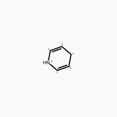 [C]1=CNC=CC1